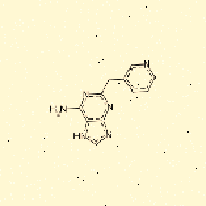 Nc1nc(Cc2cccnc2)nc2nc[nH]c12